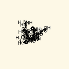 CC(C)C[C@H](NC(=O)[C@@H](CC(C)C)NC(=O)[C@H](Cc1ccc(O)cc1)NC(=O)[C@H](CO)NC(=O)[C@H](Cc1c[nH]c2ccccc12)NC(=O)[C@H](Cc1c[nH]cn1)NC(=O)[C@@H](N)CCC(=O)O)C(=O)N[C@@H](CCCNC(=N)N)C(=O)O